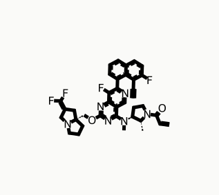 C#Cc1c(F)ccc2cccc(-c3ncc4c(N(C)[C@@H]5CCN(C(=O)C=C)[C@@H]5C)nc(OC[C@]56CCCN5CC(=C(F)F)C6)nc4c3F)c12